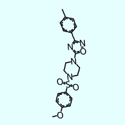 COc1ccc(S(=O)(=O)N2CCN(c3nc(-c4ccc(C)cc4)no3)CC2)cc1